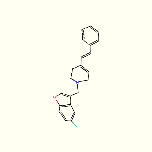 Fc1ccc2occ(CN3CC=C(C=Cc4ccccc4)CC3)c2c1